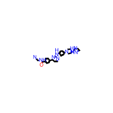 N#CCNC(=O)c1ccc(-c2ccnc(Nc3ccc(N4CCN(C5NCCN5)CC4)cc3)n2)cc1